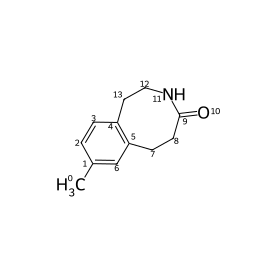 Cc1ccc2c(c1)CCC(=O)NCC2